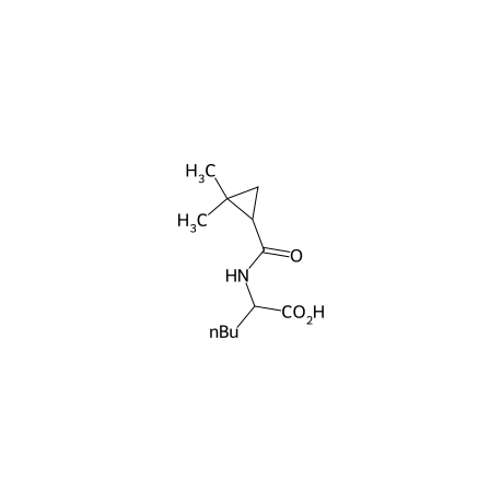 CCCCC(NC(=O)C1CC1(C)C)C(=O)O